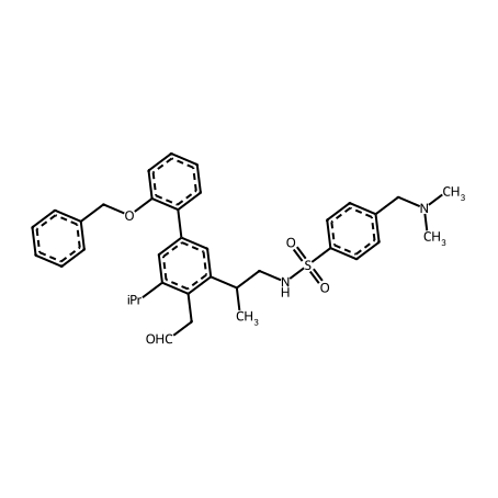 CC(C)c1cc(-c2ccccc2OCc2ccccc2)cc(C(C)CNS(=O)(=O)c2ccc(CN(C)C)cc2)c1CC=O